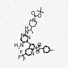 Cc1ccc(S(=O)(=O)n2cc(-c3nc(N[C@H](C)C4CCN(C(=O)OC(C)(C)C)CC4)ncc3N)c3cc(C(F)(F)F)cnc32)cc1